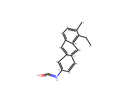 CCc1c(C)ccc2cc3cc(N=C=O)ccc3cc12